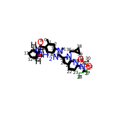 Cc1cc2c(cc1C(=O)N1C[C@H]3CC[C@@H]1[C@@H]3N)nc(-c1cc3ccc(N(C(F)F)S(C)(=O)=O)nc3n1CC1CC1)n2C